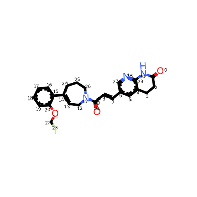 O=C1CCc2cc(/C=C/C(=O)N3CC=C(c4ccccc4OCF)CCC3)cnc2N1